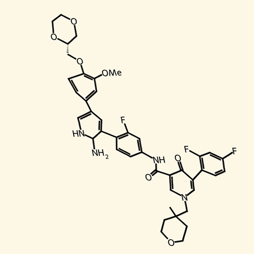 COc1cc(C2=CNC(N)C(c3ccc(NC(=O)c4cn(CC5(C)CCOCC5)cc(-c5ccc(F)cc5F)c4=O)cc3F)=C2)ccc1OC[C@H]1COCCO1